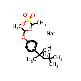 CC(Oc1ccc(C(C)(C)CC(C)(C)C)cc1)OC(C)S(=O)(=O)[O-].[Na+]